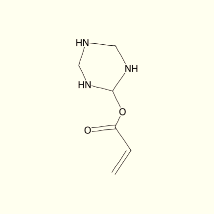 C=CC(=O)OC1NCNCN1